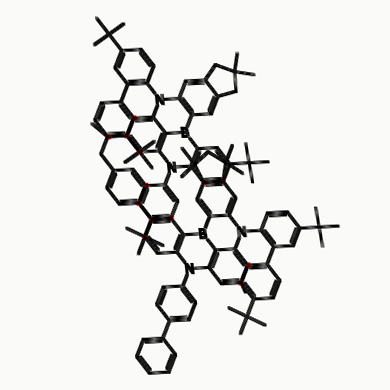 Cc1cc2c3c(c1)N(c1ccc(C(C)(C)C)cc1-c1ccc(C(C)(C)C)cc1)c1cc4c(cc1B3c1cc(-c3ccc(CC(C)c5cc6c7c(c5)N(c5ccc(C(C)(C)C)cc5-c5cccc(C(C)(C)C)c5)c5cc8c(cc5B7c5cc(C(C)(C)C)ccc5N6c5ccc(C(C)(C)C)cc5)CC(C)(C)C8)cc3)ccc1N2c1ccc(-c2ccccc2)cc1)C(C)(C)CC4(C)C